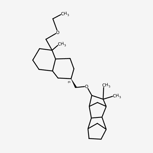 CCOCC1(C)CCCC2C[C@H](COC3C4CC(C5C6CCC(C6)C45)C3(C)C)CCC21